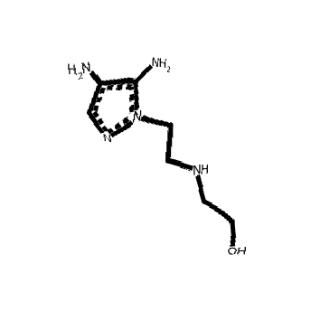 Nc1cnn(CCNCCO)c1N